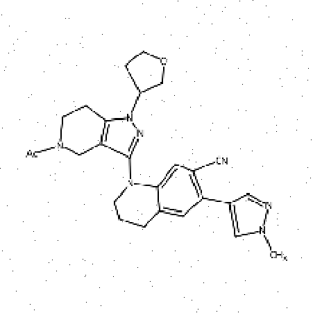 CC(=O)N1CCc2c(c(N3CCCc4cc(-c5cnn(C)c5)c(C#N)cc43)nn2C2CCOC2)C1